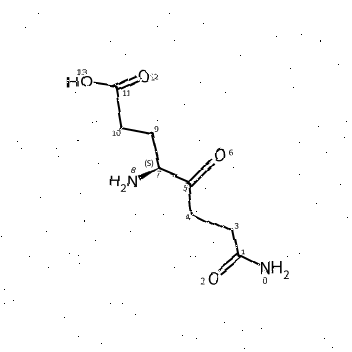 NC(=O)CCC(=O)[C@@H](N)CCC(=O)O